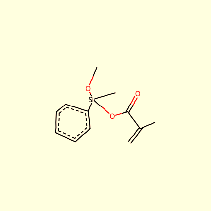 C=C(C)C(=O)O[Si](C)(OC)c1ccccc1